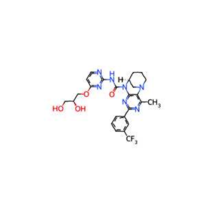 Cc1nc(-c2cccc(C(F)(F)F)c2)nc2c1N1CCC[C@@H](C1)N2C(=O)Nc1nccc(OC[C@@H](O)CO)n1